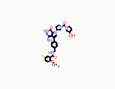 COc1ccc(F)cc1C(=O)NCc1ccc(-c2cn(C3CCN(C(=O)N4CCC(O)C4)C3)c3c(=O)[nH]nc(N)c23)cc1